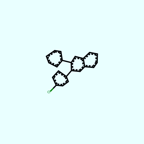 Clc1ccc(-c2cc3ccccc3cc2-c2ccccc2)cc1